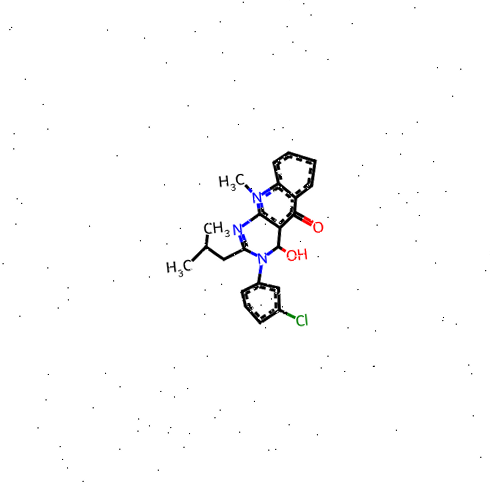 CC(C)CC1=Nc2c(c(=O)c3ccccc3n2C)C(O)N1c1cccc(Cl)c1